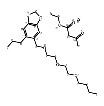 CCCCOCCOCCOCc1cc2c(cc1CCC)OCO2.CCOC(=O)CC(C)=O.[Zr]